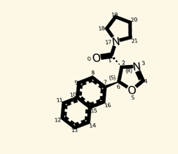 O=C([C@@H]1N=CO[C@H]1c1ccc2ccccc2c1)N1CCCC1